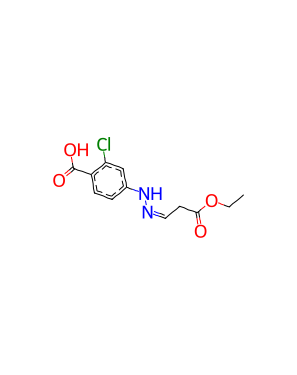 CCOC(=O)C/C=N\Nc1ccc(C(=O)O)c(Cl)c1